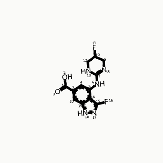 O=C(O)c1cc(NC2=NCC(F)CN2)c2c(F)n[nH]c2c1